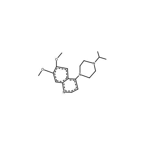 COc1cc2nccc(N3CCN(C(C)C)CC3)c2cc1OC